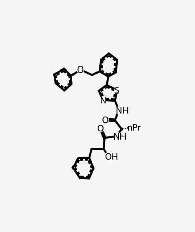 CCC[C@H](NC(=O)C(O)Cc1ccccc1)C(=O)Nc1ncc(-c2ccccc2COc2ccccc2)s1